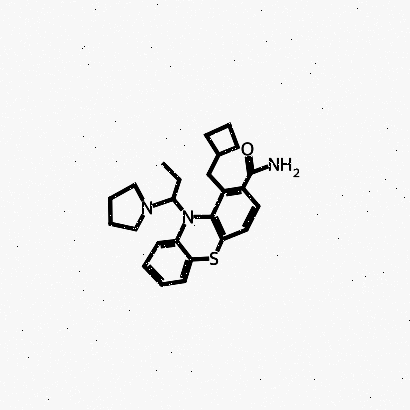 CCC(N1CCCC1)N1c2ccccc2Sc2ccc(C(N)=O)c(CC3CCC3)c21